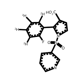 [2H]c1c([2H])c([2H])c(-c2c(C(=O)O)ccn2S(=O)(=O)c2cccnc2)c(F)c1[2H]